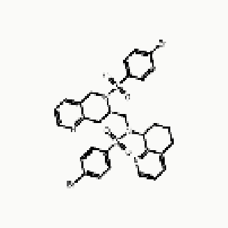 O=S(=O)(c1ccc(Br)cc1)N1Cc2cccnc2C[C@@H]1CN([C@H]1CCCc2cccnc21)S(=O)(=O)c1ccc(Br)cc1